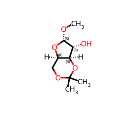 CO[C@H]1O[C@@H]2COC(C)(C)O[C@@H]2[C@H]1O